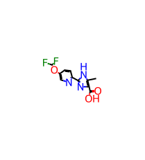 Cc1[nH]c(-c2ccc(OC(F)F)cn2)nc1C(=O)O